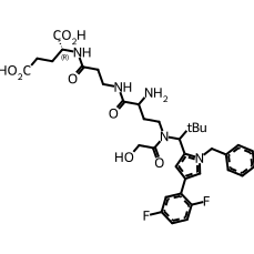 CC(C)(C)C(c1cc(-c2cc(F)ccc2F)cn1Cc1ccccc1)N(CCC(N)C(=O)NCCC(=O)N[C@H](CCC(=O)O)C(=O)O)C(=O)CO